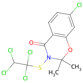 CC1(C)Oc2cc(Cl)ccc2C(=O)N1SC(Cl)(Cl)C(Cl)Cl